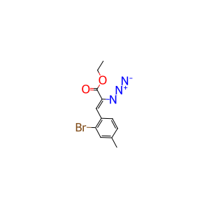 CCOC(=O)C(=Cc1ccc(C)cc1Br)N=[N+]=[N-]